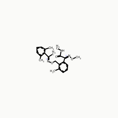 CNC(=O)/C(=N/OC)c1cccc(C)c1CO/N=C(\C)c1c(C)cccc1C